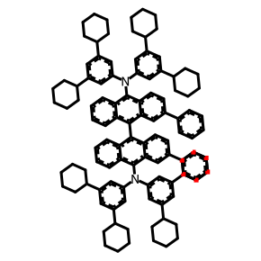 c1ccc(-c2ccc3c(N(c4cc(C5CCCCC5)cc(C5CCCCC5)c4)c4cc(C5CCCCC5)cc(C5CCCCC5)c4)c4ccccc4c(-c4c5ccccc5c(N(c5cc(C6CCCCC6)cc(C6CCCCC6)c5)c5cc(C6CCCCC6)cc(C6CCCCC6)c5)c5cc(-c6ccccc6)ccc45)c3c2)cc1